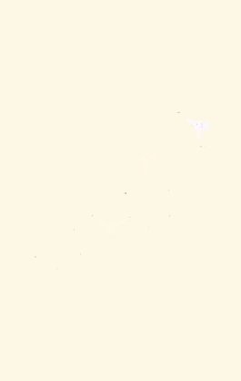 c1ccc(COc2cccc(OC3CCNCC3)c2)cc1